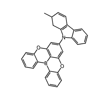 CC1C=Cc2c(n(-c3cc4c5c(c3)Oc3ccccc3B5c3ccccc3O4)c3ccccc23)C1